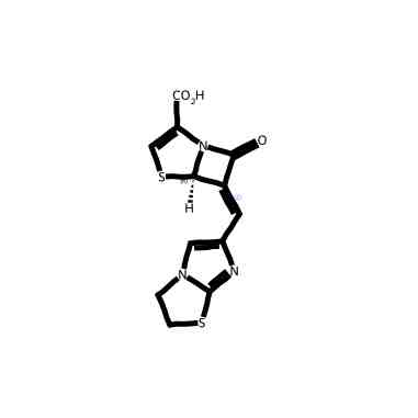 O=C(O)C1=CS[C@@H]2/C(=C\c3cn4c(n3)SCC4)C(=O)N12